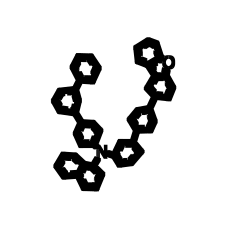 c1ccc(-c2cccc(-c3ccc(N(c4cccc(-c5ccc(-c6ccc7oc8ccccc8c7c6)cc5)c4)c4cccc5ccccc45)cc3)c2)cc1